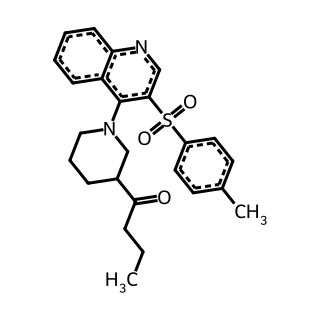 CCCC(=O)C1CCCN(c2c(S(=O)(=O)c3ccc(C)cc3)cnc3ccccc23)C1